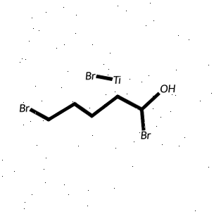 OC(Br)CCCCBr.[Ti][Br]